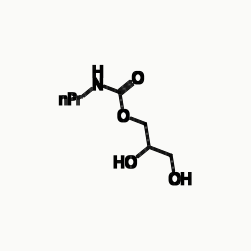 [CH2]CCNC(=O)OCC(O)CO